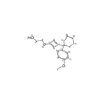 COc1ccc(C2(C3=CC(OCCO)=C3)CCCCC2)cc1